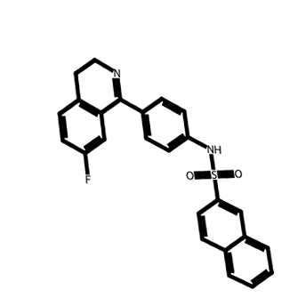 O=S(=O)(Nc1ccc(C2=NCCc3ccc(F)cc32)cc1)c1ccc2ccccc2c1